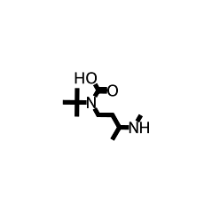 CNC(C)CCN(C(=O)O)C(C)(C)C